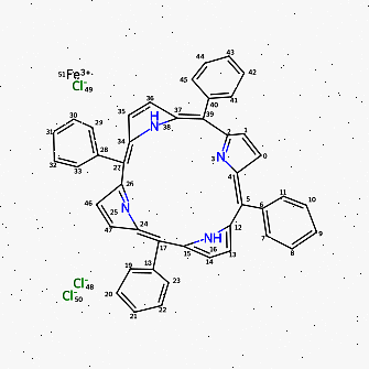 C1=Cc2nc1c(-c1ccccc1)c1ccc([nH]1)c(-c1ccccc1)c1nc(c(-c3ccccc3)c3ccc([nH]3)c2-c2ccccc2)C=C1.[Cl-].[Cl-].[Cl-].[Fe+3]